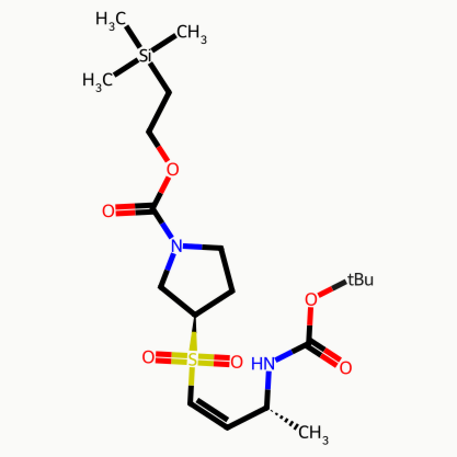 C[C@H](/C=C\S(=O)(=O)[C@@H]1CCN(C(=O)OCC[Si](C)(C)C)C1)NC(=O)OC(C)(C)C